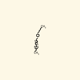 CCCCCCC[C@H]1CC[C@H](CCc2cc3sc(-c4ncc(CCC)cn4)cc3s2)CC1